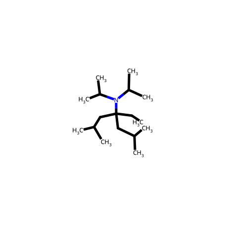 CCC(CC(C)C)(CC(C)C)N(C(C)C)C(C)C